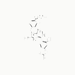 CCc1nc2c(-c3ccc(OC(F)F)cc3Cl)ncnc2n1Cc1ccc(OC)cc1